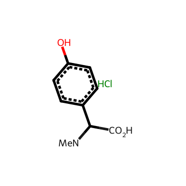 CNC(C(=O)O)c1ccc(O)cc1.Cl